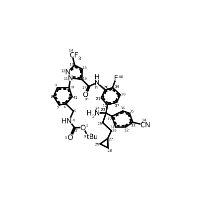 CC(C)(C)OC(=O)NCc1cccc(-n2nc(C(F)(F)F)cc2C(=O)Nc2cc(C(N)(CCC3CC3)c3ccc(C#N)cc3)ccc2F)c1